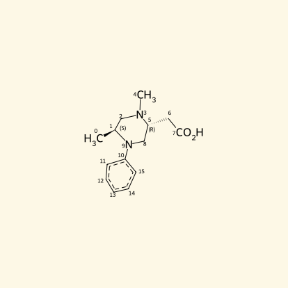 C[C@H]1CN(C)[C@H](CC(=O)O)CN1c1ccccc1